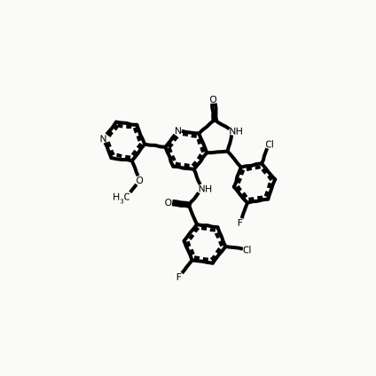 COc1cnccc1-c1cc(NC(=O)c2cc(F)cc(Cl)c2)c2c(n1)C(=O)NC2c1cc(F)ccc1Cl